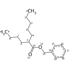 CCCCCC(CCCC)C(=O)OCc1ccccc1